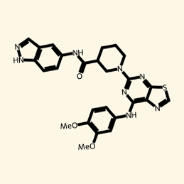 COc1ccc(Nc2nc(N3CCCC(C(=O)Nc4ccc5[nH]ncc5c4)C3)nc3scnc23)cc1OC